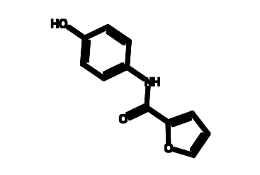 O=C(Nc1ccc(O)cc1)c1ccco1